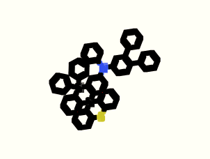 c1ccc(-c2ccc(N(c3ccccc3)c3ccc4c(c3)[Si](c3ccccc3)(c3ccccc3)c3ccccc3[Si]43c4ccccc4Sc4ccccc43)cc2-c2ccccc2)cc1